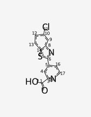 O=C(O)c1cc(-c2nc3cc(Cl)ccc3s2)ccn1